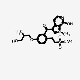 CNS(=O)(=O)CCc1ccc(OCC(C)CO)cc1C(=O)c1cn(C)c2c(O)nccc12